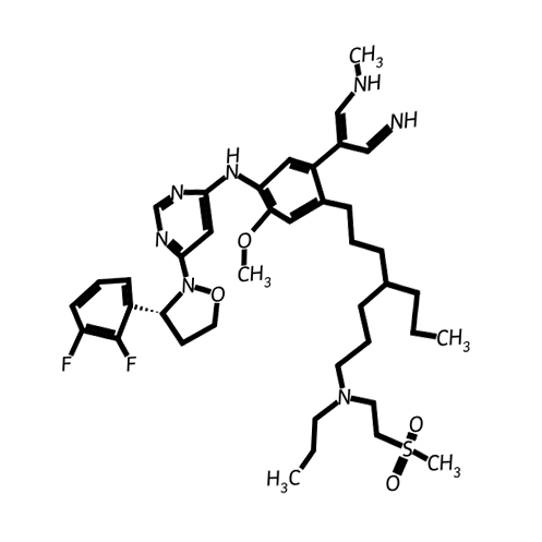 CCCC(CCCc1cc(OC)c(Nc2cc(N3OCC[C@@H]3c3cccc(F)c3F)ncn2)cc1/C(C=N)=C/NC)CCCN(CCC)CCS(C)(=O)=O